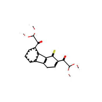 CC(C)OC(OC(C)C)C(=O)C1=CCC2=C(C1=S)c1c(C(=O)C(OC(C)C)OC(C)C)cccc12